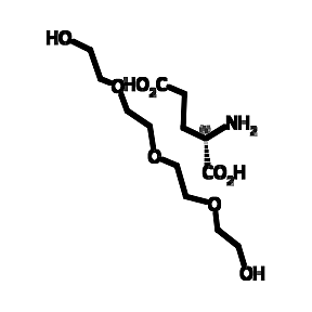 N[C@@H](CCC(=O)O)C(=O)O.OCCOCCOCCOCCO